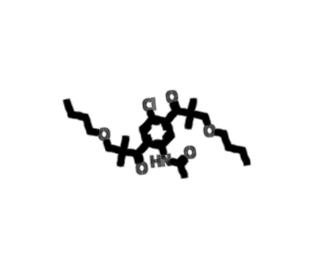 CCCCOCC(C)(C)C(=O)c1cc(NC(C)=O)c(C(=O)C(C)(C)COCCCC)cc1Cl